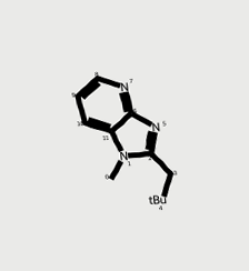 Cn1c(CC(C)(C)C)nc2ncccc21